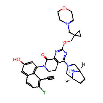 C#Cc1c(F)ccc2cc(O)cc(N3CCc4c(nc(OCC5(CN6CCOCC6)CC5)nc4N4C[C@H]5CC[C@@H](C4)N5)C3=O)c12